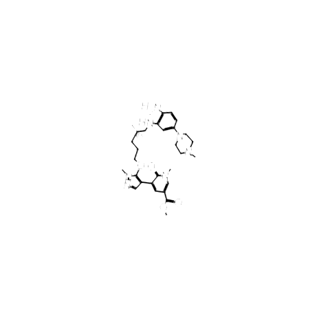 COC(=O)c1cc(-c2cnn(C)c2OCCC[C@@H](C)CNc2cc(N3CCN(C)CC3)ccc2N)c(=O)n(C)c1